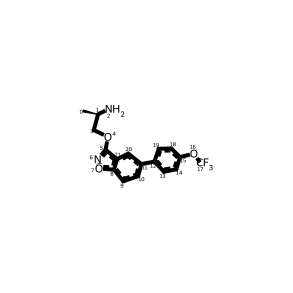 C[C@@H](N)COc1noc2ccc(-c3ccc(OC(F)(F)F)cc3)cc12